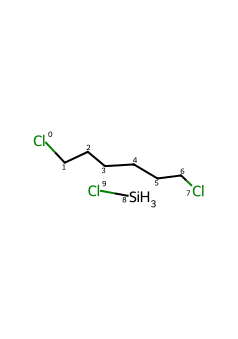 ClCCCCCCCl.[SiH3]Cl